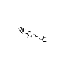 Cc1nnccc1CNC(=O)Cn1ncc(N[C@@H]2C[C@@H]3C[C@H]([C@H]2C)C3(C)C)c(Cl)c1=O